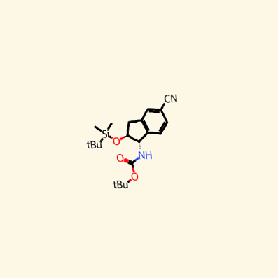 CC(C)(C)OC(=O)N[C@H]1c2ccc(C#N)cc2C[C@@H]1O[Si](C)(C)C(C)(C)C